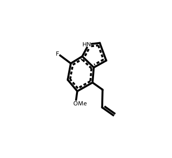 C=CCc1c(OC)cc(F)c2[nH]ccc12